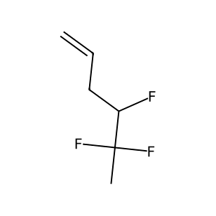 C=CCC(F)C(C)(F)F